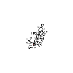 C[C@@H]1C[C@H]2[C@@H]3C[C@H](F)C4=CC(=O)C=C[C@]4(C)[C@@]3(F)[C@@H](O)C[C@]2(C)[C@@]1(OC(=O)C1C(C)(C)C1(C)C)C(=S)OCC#N